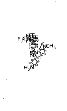 CN(C)c1ccc(CC(c2ccc(N)cc2)c2nsc(N3CCN(S(=O)(=O)C(F)(F)C(F)(F)C(F)(F)C(F)(F)F)CC3)n2)cc1